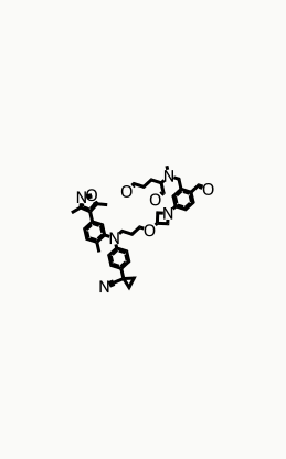 Cc1ccc(-c2c(C)noc2C)cc1N(CCCOC1CN(c2ccc(C=O)c(CN(C)C(C=O)CCC=O)c2)C1)c1ccc(C2(C#N)CC2)cc1